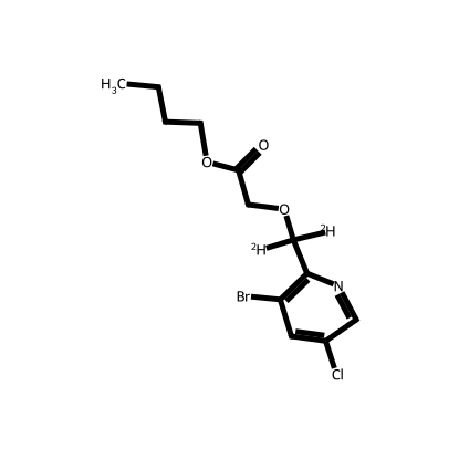 [2H]C([2H])(OCC(=O)OCCCC)c1ncc(Cl)cc1Br